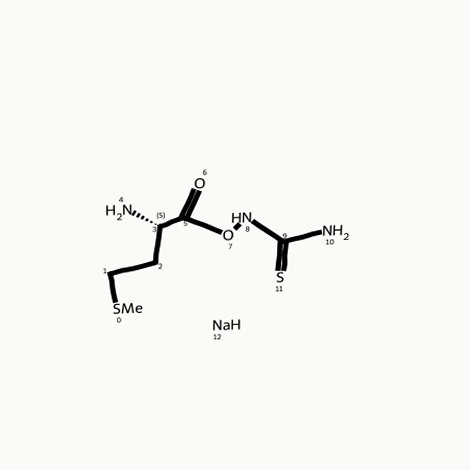 CSCC[C@H](N)C(=O)ONC(N)=S.[NaH]